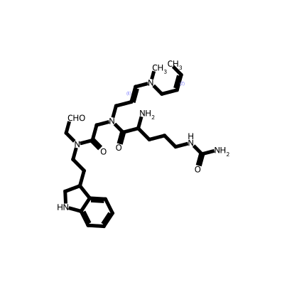 C/C=C\CN(C)/C=C/CN(CC(=O)N(CC=O)CCC1CNc2ccccc21)C(=O)C(N)CCCNC(N)=O